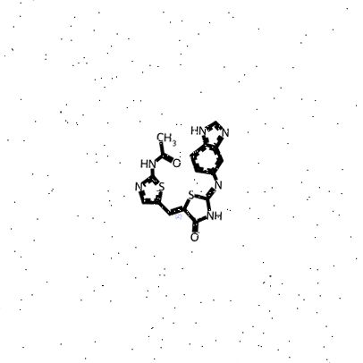 CC(=O)Nc1ncc(/C=C2\SC(=Nc3ccc4[nH]cnc4c3)NC2=O)s1